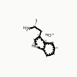 C[C@@H](N)Cc1c[nH]c2ccccc12.Cl